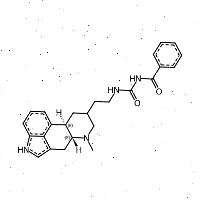 CN1CC(CCNC(=O)NC(=O)c2ccccc2)C[C@@H]2c3cccc4[nH]cc(c34)C[C@H]21